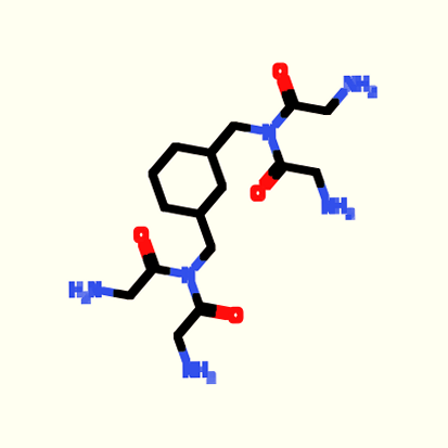 NCC(=O)N(CC1CCCC(CN(C(=O)CN)C(=O)CN)C1)C(=O)CN